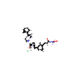 Cl.O=C(/C=C/c1cccc(/C=C/C(=O)N2CC=C(c3ccccc3)CC2)c1)NO